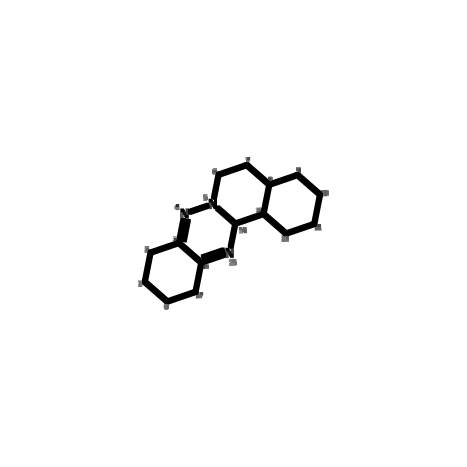 C1CCC2=NN3CCC4CCCCC4C3N=C2C1